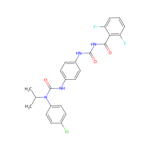 CC(C)N(C(=O)Nc1ccc(NC(=O)NC(=O)c2c(F)cccc2F)cc1)c1ccc(Cl)cc1